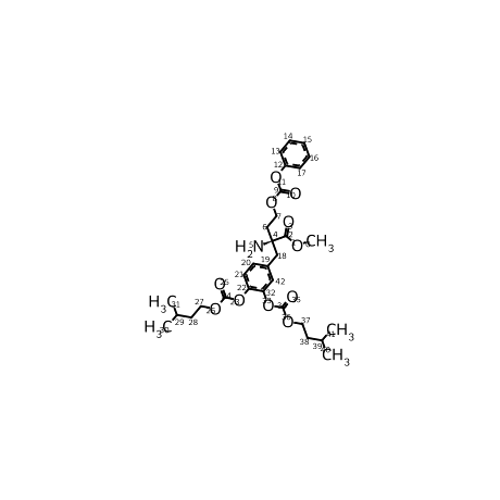 COC(=O)[C@@](N)(CCOC(=O)Oc1ccccc1)Cc1ccc(OC(=O)OCCC(C)C)c(OC(=O)OCCC(C)C)c1